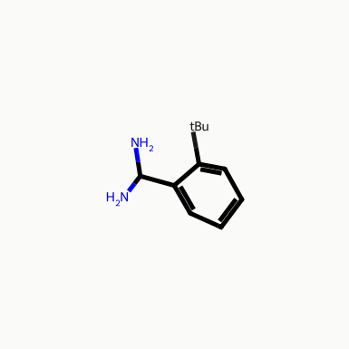 CC(C)(C)c1ccccc1C(N)N